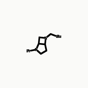 CC(C)N1CCC2C1CN2CC(C)(C)C